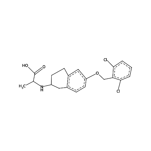 CC(NC1CCc2cc(OCc3c(Cl)cccc3Cl)ccc2C1)C(=O)O